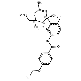 COC[C@@]1(C)SC(N)=N[C@](C)(c2cc(NC(=O)c3cnc(OCC(F)(F)F)cn3)ccc2F)[C@@H]1C